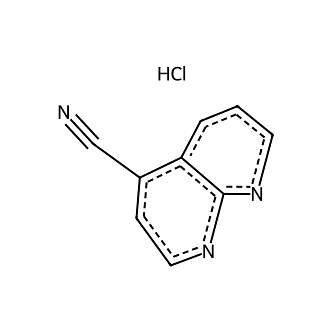 Cl.N#Cc1ccnc2ncccc12